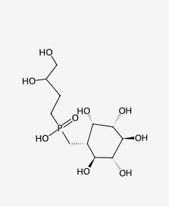 O=P(O)(CCC(O)CO)C[C@@H]1[C@H](O)[C@H](O)[C@@H](O)[C@H](O)[C@H]1O